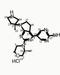 C[C@H]1COCCN1c1nc(-c2cnc(N)nc2)c2c(n1)N([C@]1(C)CCNC1)CC2.Cl